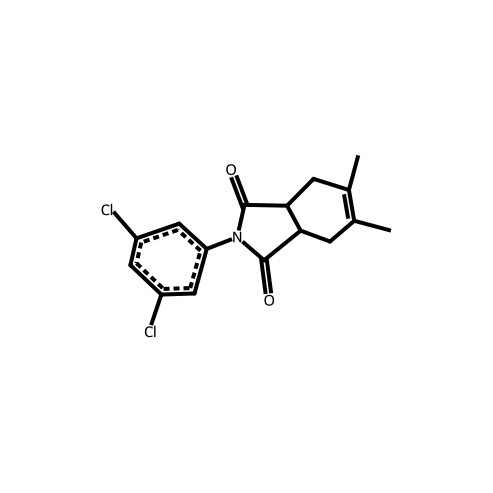 CC1=C(C)CC2C(=O)N(c3cc(Cl)cc(Cl)c3)C(=O)C2C1